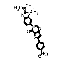 CN(C)c1nc2ccc(-n3cnc4cc(-c5ccc([N+](=O)[O-])cc5)sc4c3=O)cc2n1C